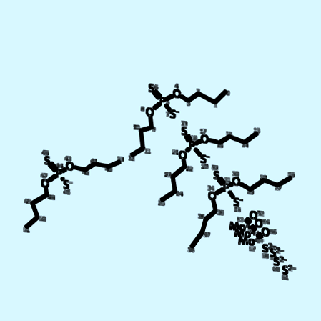 CCCCOP(=S)([S-])OCCCC.CCCCOP(=S)([S-])OCCCC.CCCCOP(=S)([S-])OCCCC.CCCCOP(=S)([S-])OCCCC.[O]=[Mo+4].[O]=[Mo+4].[O]=[Mo+4].[S-2].[S-2].[S-2].[S-2]